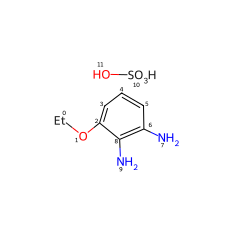 CCOc1cccc(N)c1N.O=S(=O)(O)O